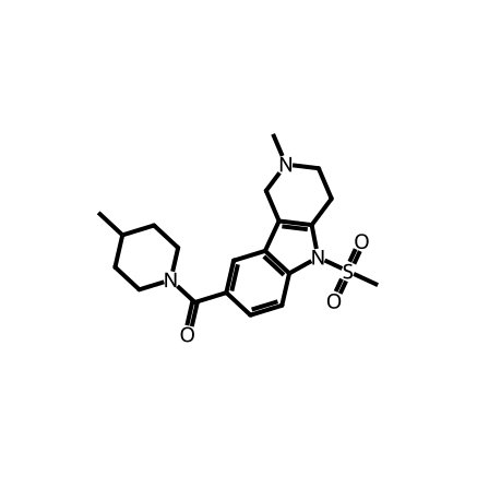 CC1CCN(C(=O)c2ccc3c(c2)c2c(n3S(C)(=O)=O)CCN(C)C2)CC1